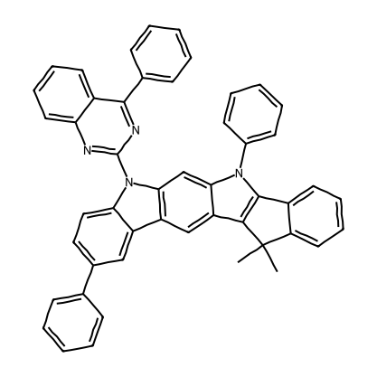 CC1(C)c2ccccc2-c2c1c1cc3c4cc(-c5ccccc5)ccc4n(-c4nc(-c5ccccc5)c5ccccc5n4)c3cc1n2-c1ccccc1